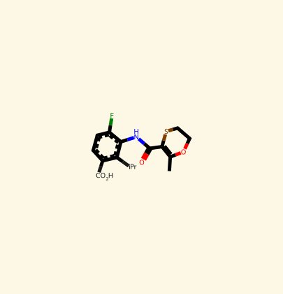 CC1=C(C(=O)Nc2c(F)ccc(C(=O)O)c2C(C)C)SCCO1